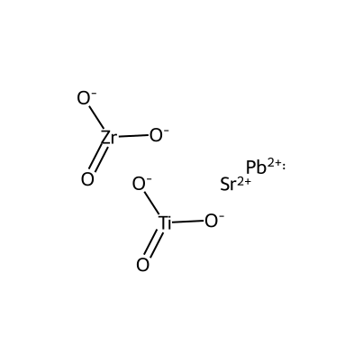 [O]=[Ti]([O-])[O-].[O]=[Zr]([O-])[O-].[Pb+2].[Sr+2]